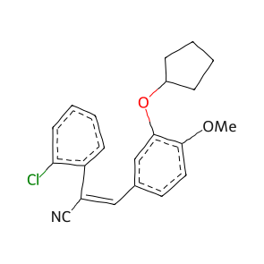 COc1ccc(C=C(C#N)c2ccccc2Cl)cc1OC1CCCC1